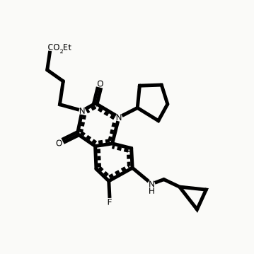 CCOC(=O)CCCn1c(=O)c2cc(F)c(NCC3CC3)cc2n(C2CCCC2)c1=O